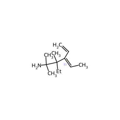 C=C/C(=C\C)C(C)(CC)C(C)(C)N